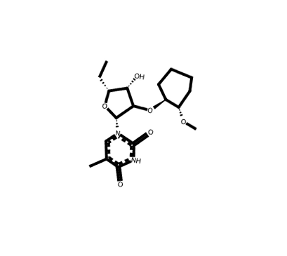 CC[C@H]1O[C@@H](n2cc(C)c(=O)[nH]c2=O)C(O[C@H]2CCCC[C@@H]2OC)[C@H]1O